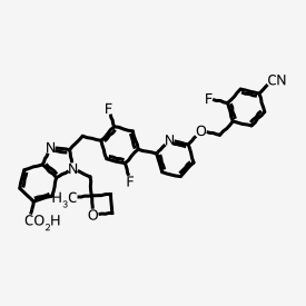 CC1(Cn2c(Cc3cc(F)c(-c4cccc(OCc5ccc(C#N)cc5F)n4)cc3F)nc3ccc(C(=O)O)cc32)CCO1